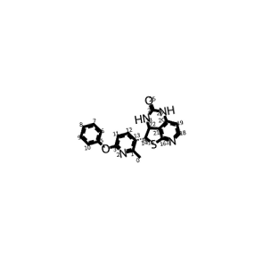 Cc1nc(Oc2ccccc2)ccc1[C@H]1Sc2nccc3c2C1NC(=O)N3